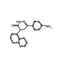 Nc1ccc(C2=NNC(=O)C(c3cccc4ncccc34)C2)cc1